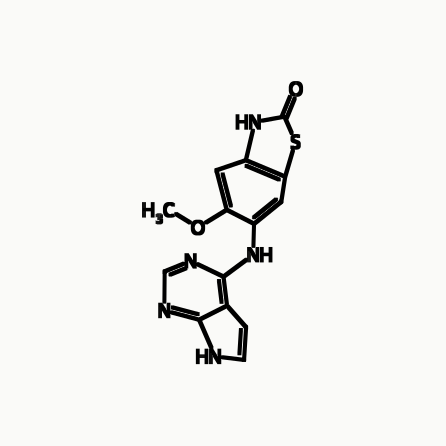 COc1cc2[nH]c(=O)sc2cc1Nc1ncnc2[nH]ccc12